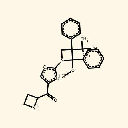 CC(C)(C)C1(c2ccccc2)CN(c2nc(C(=O)C3CCN3)co2)C1(O[SiH3])c1ccccc1